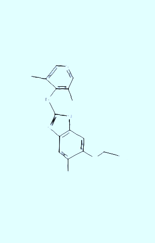 O=C(O)c1cc2nc(Nc3c(Cl)cncc3Cl)[nH]c2cc1OCC(F)(F)F